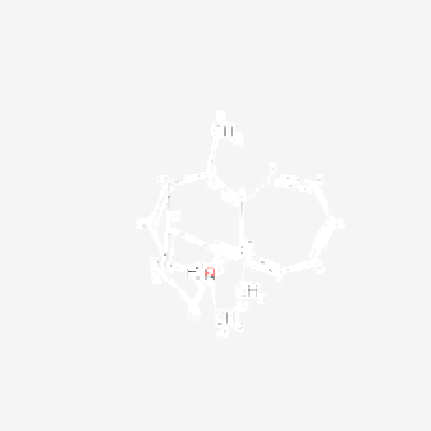 CC1=C2C=CC=CC3=C(C)C4=CC[N+](C)(CC=C41)C23C